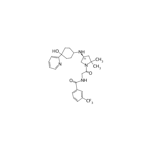 CC1(C)C[C@H](NC2CCC(O)(c3ccccn3)CC2)CN1C(=O)CNC(=O)c1cccc(C(F)(F)F)c1